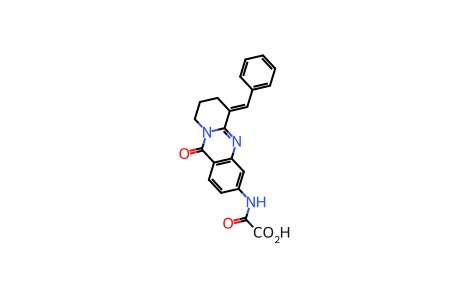 O=C(O)C(=O)Nc1ccc2c(=O)n3c(nc2c1)C(=Cc1ccccc1)CCC3